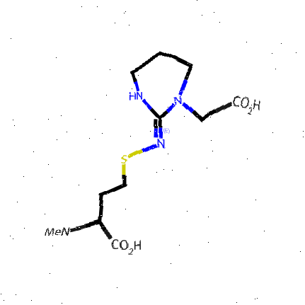 CNC(CCS/N=C1\NCCCN1CC(=O)O)C(=O)O